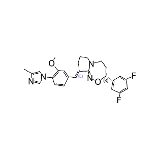 COc1cc(/C=C2\CCCN3CC[C@H](c4cc(F)cc(F)c4)ON=C23)ccc1-n1cnc(C)c1